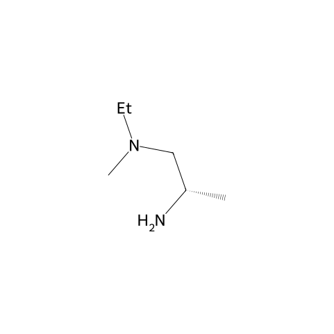 CCN(C)C[C@H](C)N